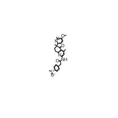 COc1ccc(C2(C)CCc3nc(NC(=O)Cc4ccc([S+](C)[O-])cc4)cc(C)c3C2=O)nn1